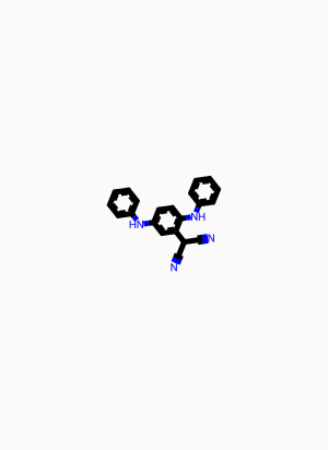 N#CC(C#N)c1cc(Nc2ccccc2)ccc1Nc1ccccc1